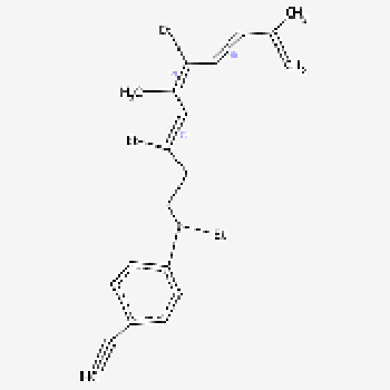 C#Cc1ccc(C(CC)CC/C(=C/C(C)=C(\C=C\C(=C)C)CC)CC)cc1